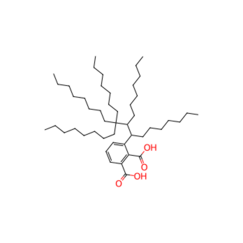 CCCCCCCCC(CCCCCCC)(CCCCCCCC)C(CCCCCCC)C(CCCCCCC)c1cccc(C(=O)O)c1C(=O)O